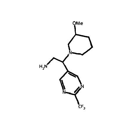 COC1CCCN(C(CN)c2cnc(C(F)(F)F)nc2)C1